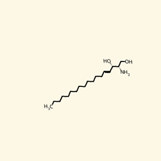 CCCCCCCCCCCCCC=C[C@H](O)[C@@H](N)CO